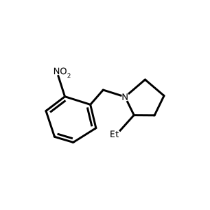 CCC1CCCN1Cc1ccccc1[N+](=O)[O-]